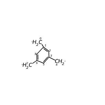 [CH2]c1cc([CH2])cc([CH2])c1